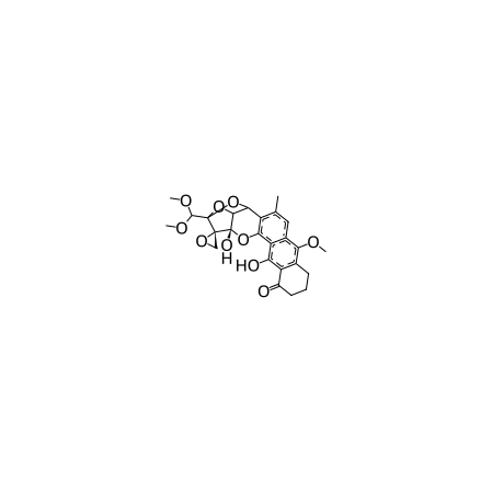 COc1c2c(c(O)c3c4c(c(C)cc13)C1OC3(C(OC)OC)OC1[C@](O)(O4)[C@@]31CO1)C(=O)CCC2